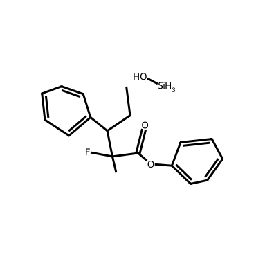 CCC(c1ccccc1)C(C)(F)C(=O)Oc1ccccc1.O[SiH3]